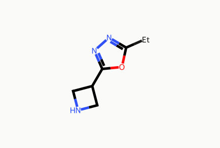 CCc1nnc(C2CNC2)o1